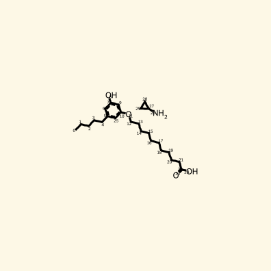 CCCCCc1cc(O)cc(OCCCCCCCCCCC(=O)O)c1.NC1CC1